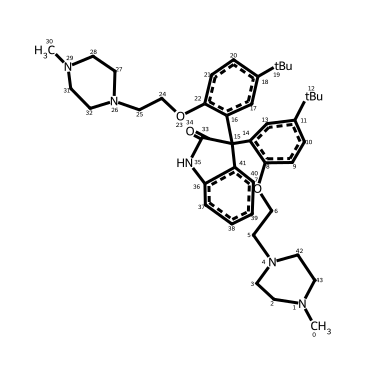 CN1CCN(CCOc2ccc(C(C)(C)C)cc2C2(c3cc(C(C)(C)C)ccc3OCCN3CCN(C)CC3)C(=O)Nc3ccccc32)CC1